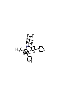 Cc1sc(-c2ccncc2)cc1/C=C(\c1cc(-c2ccncc2)sc1C)C(F)(F)C(F)(F)C(F)F